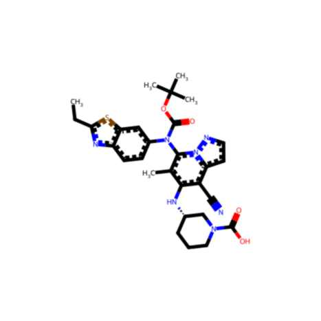 CCc1nc2ccc(N(C(=O)OC(C)(C)C)c3c(C)c(N[C@H]4CCCN(C(=O)O)C4)c(C#N)c4ccnn34)cc2s1